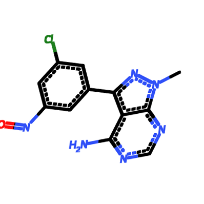 Cn1nc(-c2cc(Cl)cc(N=O)c2)c2c(N)ncnc21